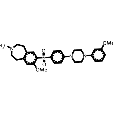 COc1cccc(N2CCN(c3ccc(S(=O)(=O)c4cc5c(cc4OC)CCN(C)CC5)cc3)CC2)c1